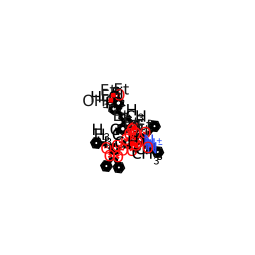 CC[C@]1(C)C[C@H](O[Si](CC)(CC)CC)[C@@]2(C(=O)OC3([C@@H]4O[C@H](C)[C@H](O[C@@H]5OC[C@@H](OCc6ccccc6)C(OCc6ccccc6)C5OCc5ccccc5)C5OC(C)(C)OC54)OC4C(OCc5ccccc5)[C@@H](N=[N+]=[N-])[C@@H](COCc5ccccc5)O[C@H]43)CCC(C)(C)CC2C1CCC1CCC[C@@H]2C1(C)CC[C@H](O[Si](CC)(CC)CC)[C@]2(C)C=O